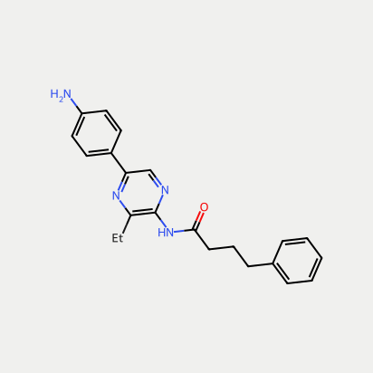 CCc1nc(-c2ccc(N)cc2)cnc1NC(=O)CCCc1ccccc1